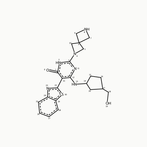 O=c1[nH]c(N2CC3(CNC3)C2)nc(NC2CCC(CO)C2)c1-c1nc2ccccc2s1